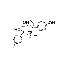 CCC12CC(C)(O)C(O)(c3ccc(C)cc3)C[C@H]1CCc1cc(O)ccc12